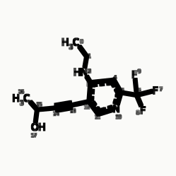 CCNc1cc(C(F)(F)F)ncc1C#CC(C)O